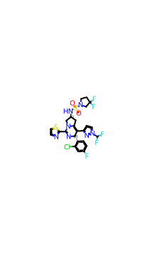 O=S(=O)(N[C@H]1CC2=C(c3ccn(C(F)F)n3)[C@H](c3ccc(F)cc3Cl)N=C(c3nccs3)N2C1)N1CCC(F)(F)C1